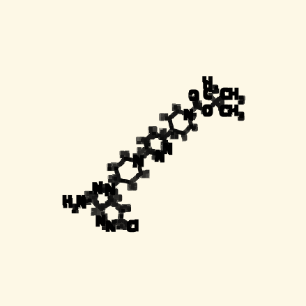 CC(C)(C)OC(=O)N1CCC(c2ccc(N3CCC(n4nc(N)c5nnc(Cl)cc54)CC3)nn2)CC1